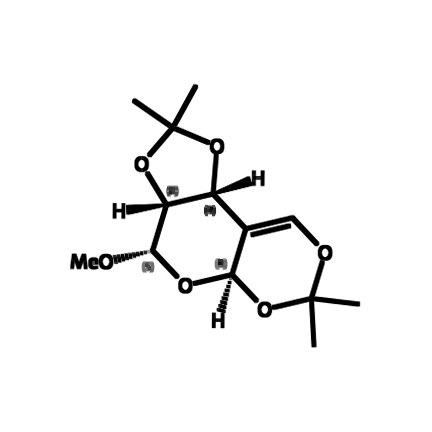 CO[C@H]1O[C@@H]2OC(C)(C)OC=C2[C@H]2OC(C)(C)O[C@@H]12